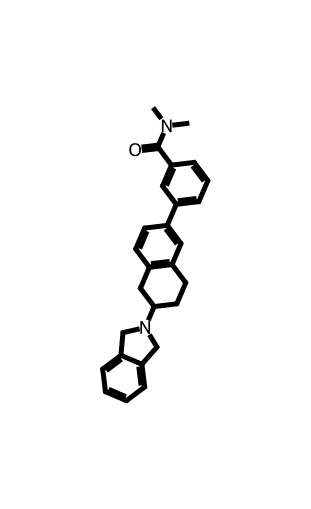 CN(C)C(=O)c1cccc(-c2ccc3c(c2)CCC(N2Cc4ccccc4C2)C3)c1